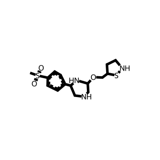 CS(=O)(=O)c1ccc(C2CNCC(OCC3CCNS3)N2)cc1